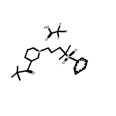 CC(C)(C)C(=O)C1CCCN(CCCC(C)(C)S(=O)(=O)c2ccccc2)C1.O=C(O)C(F)(F)F